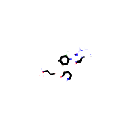 Cc1cc(F)c(-n2c(=O)cc(C(F)(F)F)n(N)c2=O)cc1Sc1cccnc1OCCCC(N)=O